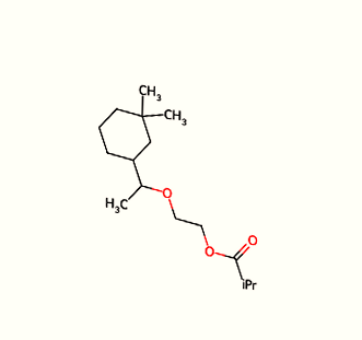 CC(C)C(=O)OCCOC(C)C1CCCC(C)(C)C1